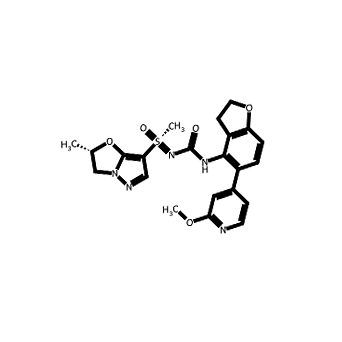 COc1cc(-c2ccc3c(c2NC(=O)N=[S@](C)(=O)c2cnn4c2O[C@@H](C)C4)CCO3)ccn1